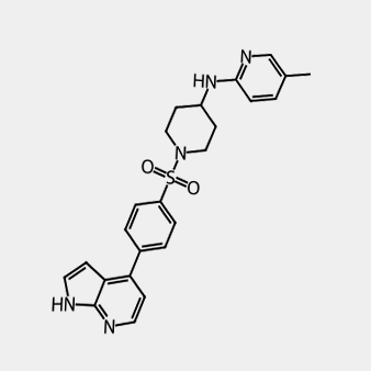 Cc1ccc(NC2CCN(S(=O)(=O)c3ccc(-c4ccnc5[nH]ccc45)cc3)CC2)nc1